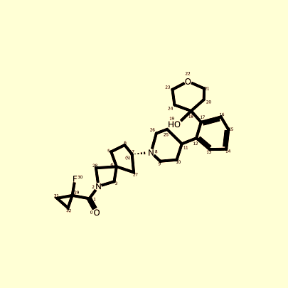 O=C(N1CC2(CC[C@H](N3CCC(c4ccccc4C4(O)CCOCC4)CC3)C2)C1)C1(F)CC1